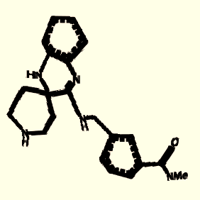 CNC(=O)c1cccc(CNC2=Nc3ccccc3NC23CCNCC3)c1